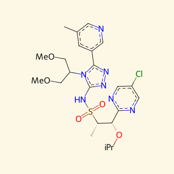 COCC(COC)n1c(NS(=O)(=O)[C@@H](C)[C@@H](OC(C)C)c2ncc(Cl)cn2)nnc1-c1cncc(C)c1